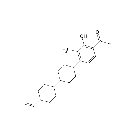 C=CC1CCC(C2CCC(c3ccc(C(=O)CC)c(O)c3C(F)(F)F)CC2)CC1